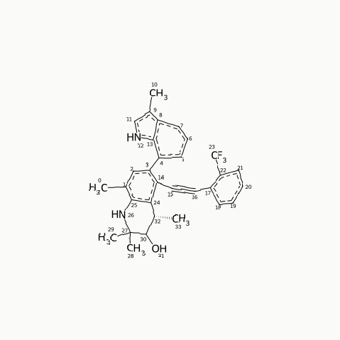 Cc1cc(-c2cccc3c(C)c[nH]c23)c(C#Cc2ccccc2C(F)(F)F)c2c1NC(C)(C)C(O)[C@H]2C